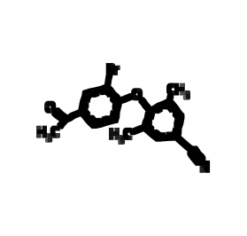 CC(=O)c1ccc(Oc2c(C)cc(C#N)cc2C)c(Br)c1